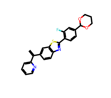 C=C(c1ccc2nc(-c3ccc(C4OCCCO4)cc3F)sc2c1)c1ccccn1